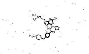 CN(C)CCCn1cnc2c(N(NC(=O)c3ccc(CN4CCN(C)CC4)cc3)C3CCCC3)nc(C#N)nc21